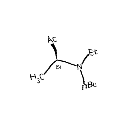 CCCCN(CC)[C@@H](C)C(C)=O